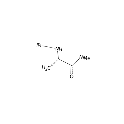 CNC(=O)[C@H](C)NC(C)C